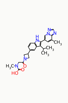 Cc1cc(-c2[nH]c3ccc(C4CN(C(=O)CN(C)C(=O)O)C4)cc3c2C(C)C)cn2ncnc12